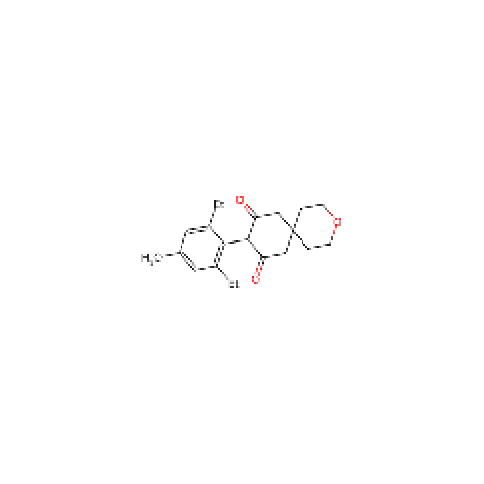 CCc1cc(C)cc(CC)c1C1C(=O)CC2(CCOCC2)CC1=O